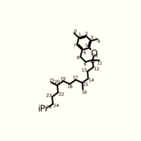 Cc1cc(C)c2c(c1)CCC(C)(CCCC(C)CCCC(C)CCCC(C)C)O2